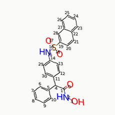 O=C(NO)C(c1ccccc1)c1ccc(NS(=O)(=O)c2ccc3ccccc3c2)cc1